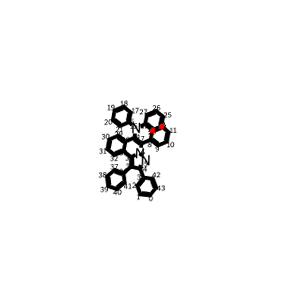 c1ccc(-c2nn3c(-c4ccccc4)c(N(c4ccccc4)c4ccccc4)c4ccccc4c3c2-c2ccccc2)cc1